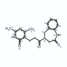 Cc1nc(C)c(CCC(=O)N2CC(=O)Nc3ccccc3C2)c(=O)[nH]1